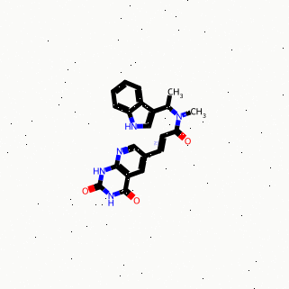 CC(c1c[nH]c2ccccc12)N(C)C(=O)/C=C/c1cnc2[nH]c(=O)[nH]c(=O)c2c1